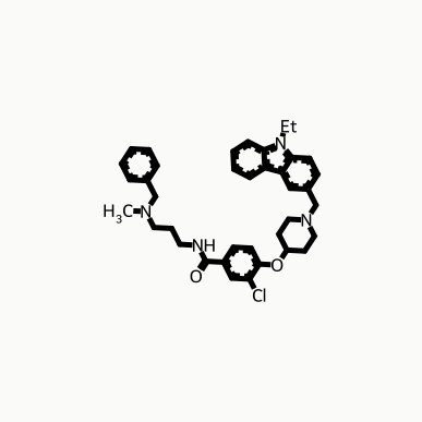 CCn1c2ccccc2c2cc(CN3CCC(Oc4ccc(C(=O)NCCCN(C)Cc5ccccc5)cc4Cl)CC3)ccc21